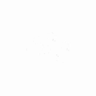 CC1(C)c2cccc3c4ccc[n+]5c4c4c(ccc1c4c23)C1(C[n+]2ccccc2-c2ncccc21)C5